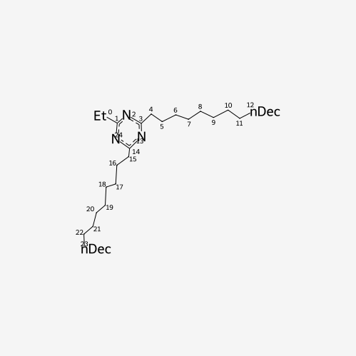 [CH2]Cc1nc(CCCCCCCCCCCCCCCCCC)nc(CCCCCCCCCCCCCCCCCC)n1